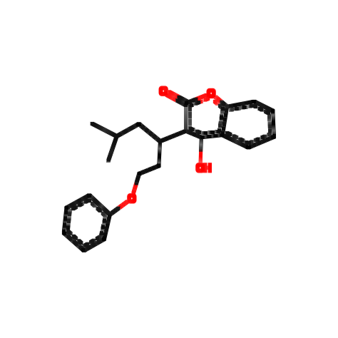 CC(C)CC(CCOc1ccccc1)c1c(O)c2ccccc2oc1=O